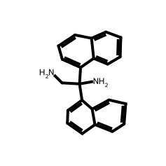 NCC(N)(c1cccc2ccccc12)c1cccc2ccccc12